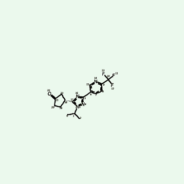 CC(C)n1nc(-c2ccc(C(F)(F)F)nc2)nc1[C@@H]1CCC(=O)C1